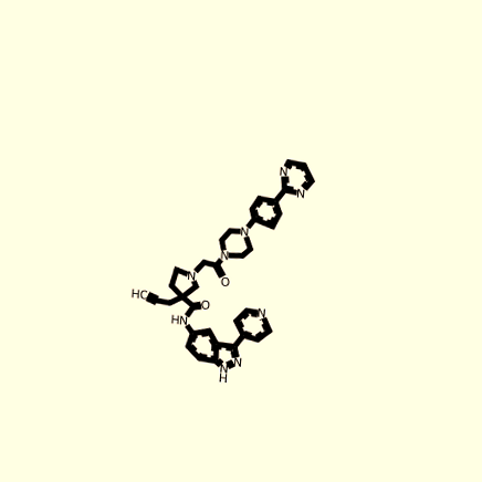 C#CCC1(C(=O)Nc2ccc3[nH]nc(-c4ccncc4)c3c2)CCN(CC(=O)N2CCN(c3ccc(-c4ncccn4)cc3)CC2)C1